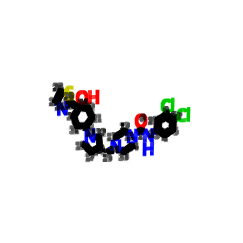 O=C(Nc1ccc(Cl)c(Cl)c1)N1CCN(C[C@@H]2CCN(C3CCC(O)(c4nccs4)CC3)C2)CC1